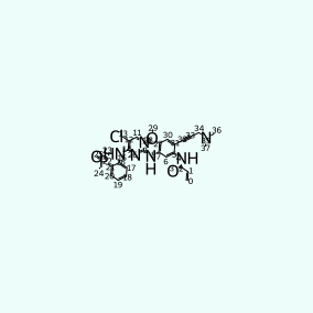 C=CC(=O)Nc1cc(Nc2ncc(Cl)c(Nc3ccccc3P(C)(C)=O)n2)c(OC)cc1C#CCN(C)C